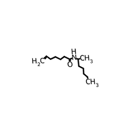 C=CCCCCC(=O)NC(C)CCCCC